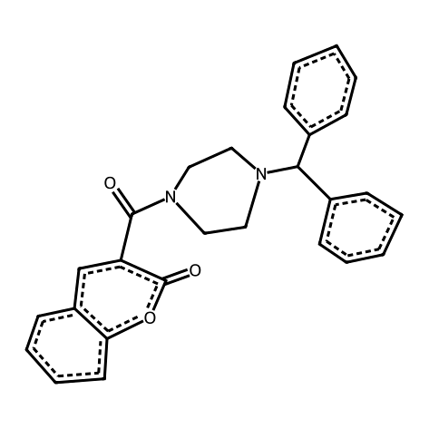 O=C(c1cc2ccccc2oc1=O)N1CCN(C(c2ccccc2)c2ccccc2)CC1